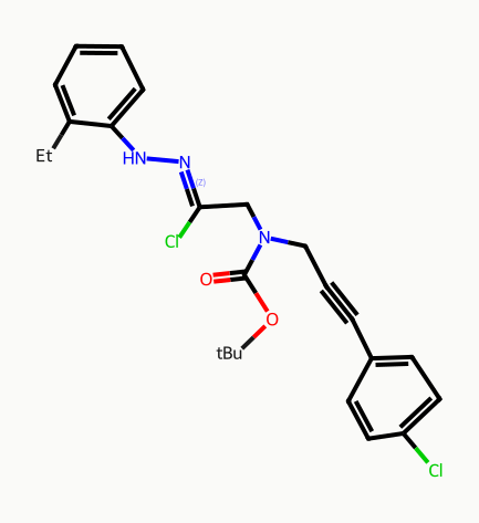 CCc1ccccc1N/N=C(\Cl)CN(CC#Cc1ccc(Cl)cc1)C(=O)OC(C)(C)C